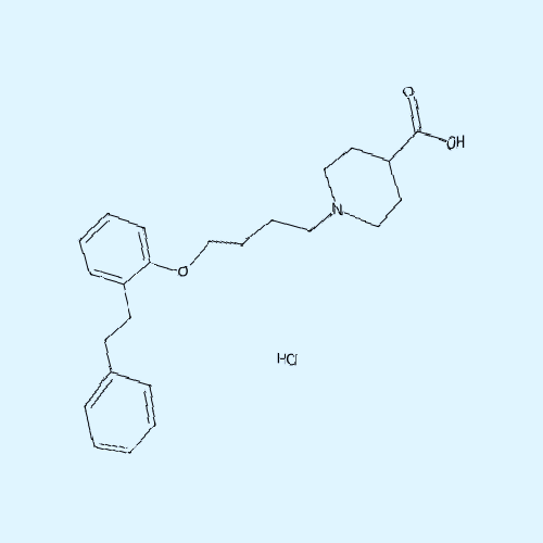 Cl.O=C(O)C1CCN(CCCCOc2ccccc2CCc2ccccc2)CC1